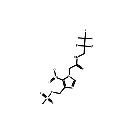 CS(=O)(=O)OCc1ncn(CC(=O)NCC(F)(F)C(F)(F)F)c1[N+](=O)[O-]